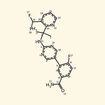 CC(C)(Nc1ncc(-c2cc(C(N)=O)ccc2F)cn1)c1ncccc1C(F)P